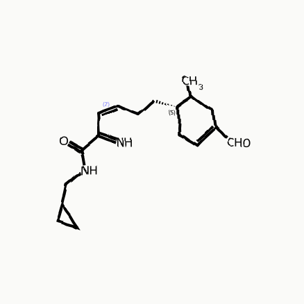 CC1CC(C=O)=CC[C@@H]1CC/C=C\C(=N)C(=O)NCC1CC1